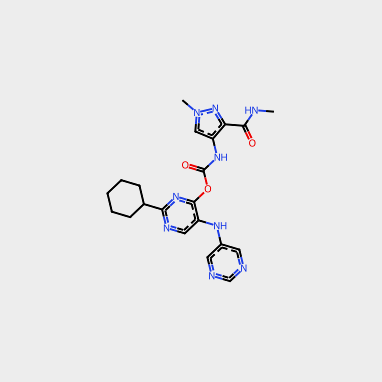 CNC(=O)c1nn(C)cc1NC(=O)Oc1nc(C2CCCCC2)ncc1Nc1cncnc1